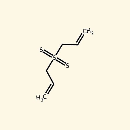 C=CCS(=S)(=S)CC=C